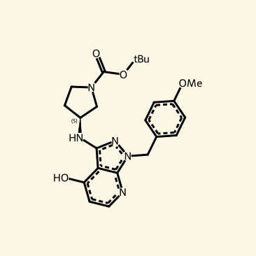 COc1ccc(Cn2nc(N[C@H]3CCN(C(=O)OC(C)(C)C)C3)c3c(O)ccnc32)cc1